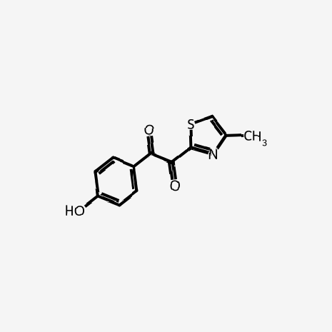 Cc1csc(C(=O)C(=O)c2ccc(O)cc2)n1